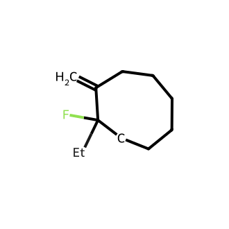 C=C1CCCCCCC1(F)CC